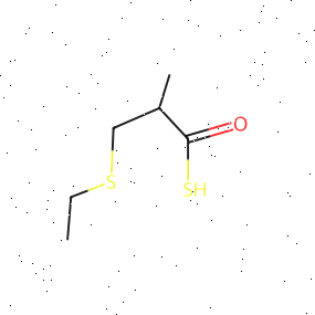 CCSCC(C)C(=O)S